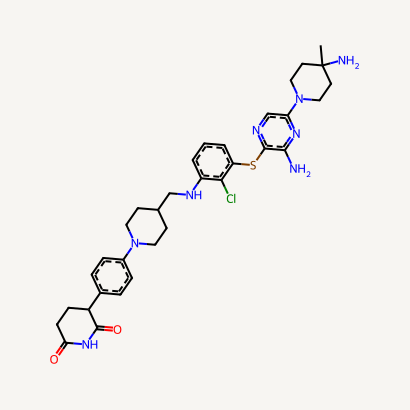 CC1(N)CCN(c2cnc(Sc3cccc(NCC4CCN(c5ccc(C6CCC(=O)NC6=O)cc5)CC4)c3Cl)c(N)n2)CC1